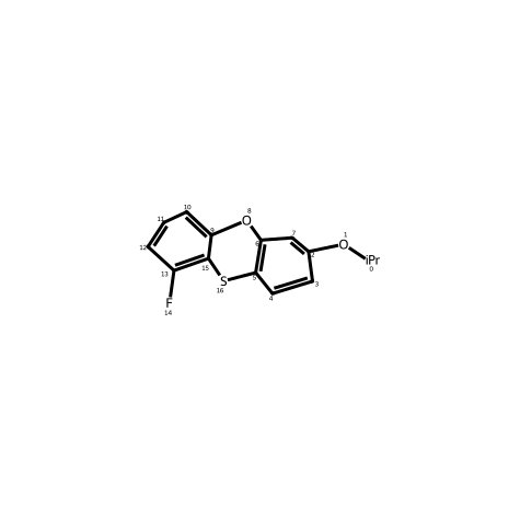 CC(C)Oc1ccc2c(c1)Oc1cccc(F)c1S2